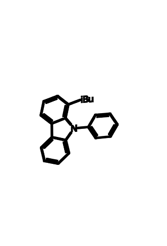 CCC(C)c1cccc2c3ccccc3n(-c3ccccc3)c12